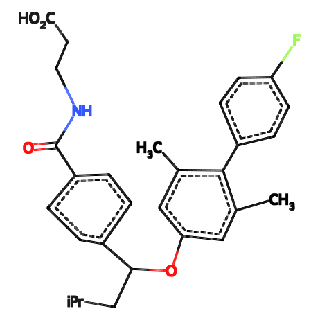 Cc1cc(OC(CC(C)C)c2ccc(C(=O)NCCC(=O)O)cc2)cc(C)c1-c1ccc(F)cc1